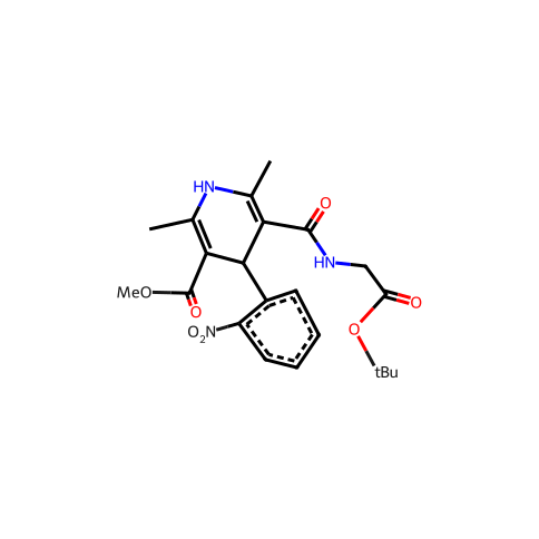 COC(=O)C1=C(C)NC(C)=C(C(=O)NCC(=O)OC(C)(C)C)C1c1ccccc1[N+](=O)[O-]